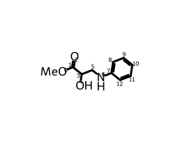 COC(=O)C(O)CNc1ccccc1